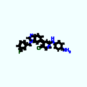 NC1CCC(Nc2cc(-c3ccc4ncn(Cc5cccc(F)c5)c4c3)c(Cl)cn2)CC1